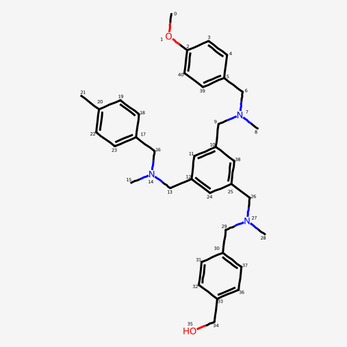 COc1ccc(CN(C)Cc2cc(CN(C)Cc3ccc(C)cc3)cc(CN(C)Cc3ccc(CO)cc3)c2)cc1